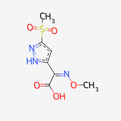 CON=C(C(=O)O)c1cc(S(C)(=O)=O)n[nH]1